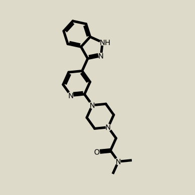 CN(C)C(=O)CN1CCN(c2cc(-c3n[nH]c4ccccc34)ccn2)CC1